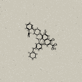 COc1c(N2CCN(c3ccccc3C#N)CC2)c(F)cc2c(=O)c(C(=O)O)cn(-c3ccc(CN4CCCCC4)cc3)c12